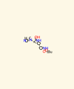 CN(CC[C@H]1Cc2cc(-c3cccc(NC(=O)OC(C)(C)C)c3)ccc2N[C@@H]1CO)Cc1ccncc1